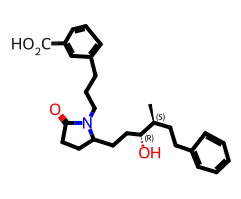 C[C@@H](CCc1ccccc1)[C@H](O)CCC1CCC(=O)N1CCCc1cccc(C(=O)O)c1